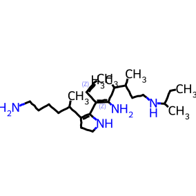 C/C=C\C(C1=C(C(C)CCCCN)CCN1)=C(\N)C(C)C(C)CCNC(C)CC